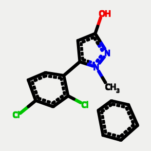 Cn1nc(O)cc1-c1ccc(Cl)cc1Cl.c1ccccc1